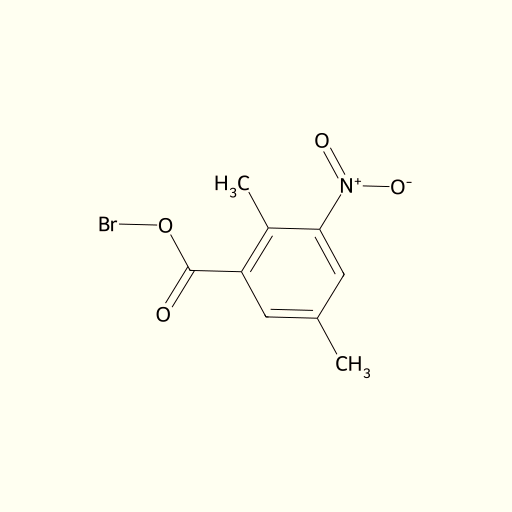 Cc1cc(C(=O)OBr)c(C)c([N+](=O)[O-])c1